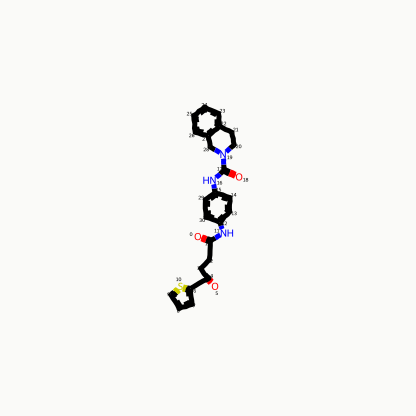 O=C(CCC(=O)c1cccs1)Nc1ccc(NC(=O)N2CCc3ccccc3C2)cc1